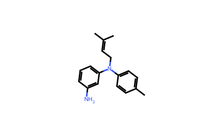 CC(C)=CCN(c1ccc(C)cc1)c1cccc(N)c1